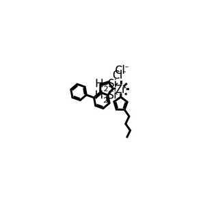 CCCCC1=C[CH]([Zr]([CH3])([CH3])([CH3])([CH3])(=[SiH2])(=[SiH2])[CH]2C=Cc3c(-c4ccccc4)cccc32)C=C1.[Cl-].[Cl-]